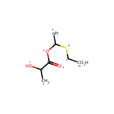 CCCC(OC(=O)C(C)O)SCC(=O)O